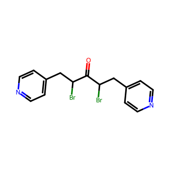 O=C(C(Br)Cc1ccncc1)C(Br)Cc1ccncc1